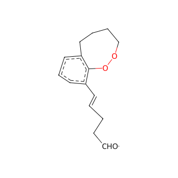 O=[C]CC/C=C/c1cccc2c1OOCCCC2